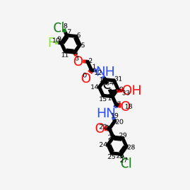 O=C(COc1ccc(Cl)c(F)c1)NC12CCC(C(=O)NCC(=O)c3ccc(Cl)cc3)(CC1)C(O)C2